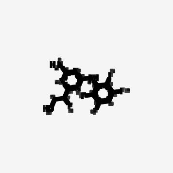 Nc1nc(Nc2c(F)c(F)cc(F)c2F)nc(C(F)CO)n1